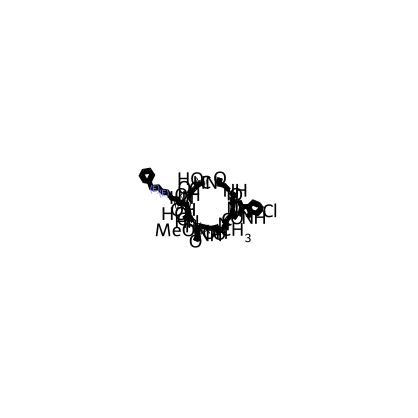 CO[C@H]1C(=O)N[C@]2(O)CC(=O)N(C)CC(=O)N[C@H](Cc3c[nH]c4cc(Cl)ccc34)C(=O)NCC(=O)NC[C@@H](O)CC(=O)N[C@H]([C@H](O)[C@@H](O)C/C=C/C=C/c3ccccc3)[C@H](O)C(=O)N[C@@H]12